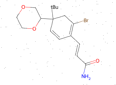 CC(C)(C)C1(C2COCCO2)C=CC(C=CC(N)=O)=C(Br)C1